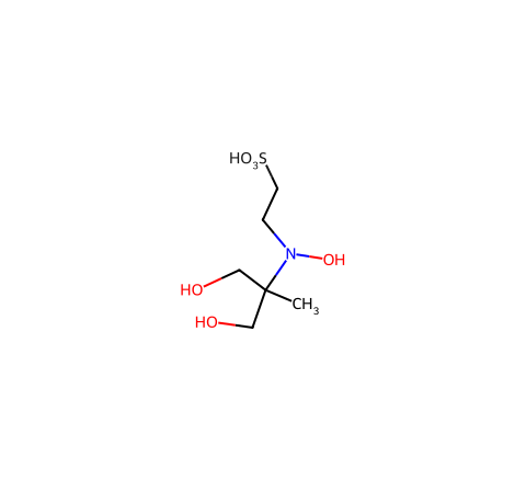 CC(CO)(CO)N(O)CCS(=O)(=O)O